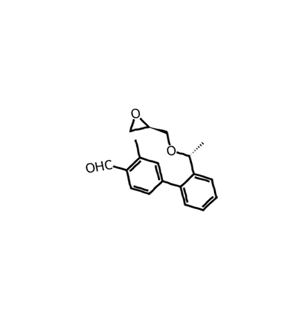 Cc1cc(-c2ccccc2[C@@H](C)OC[C@H]2CO2)ccc1C=O